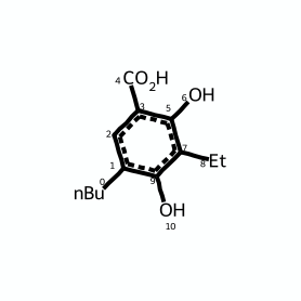 CCCCc1cc(C(=O)O)c(O)c(CC)c1O